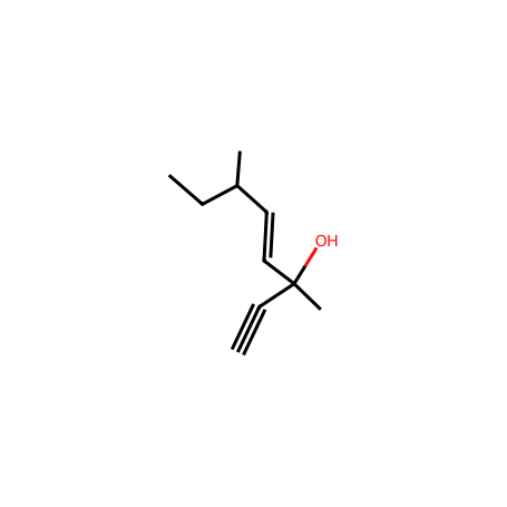 C#CC(C)(O)C=CC(C)CC